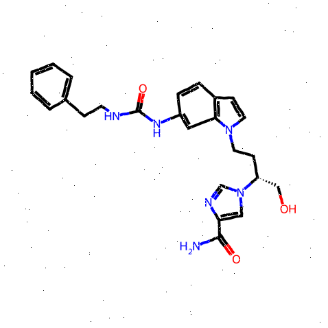 NC(=O)c1cn([C@@H](CO)CCn2ccc3ccc(NC(=O)NCCc4ccccc4)cc32)cn1